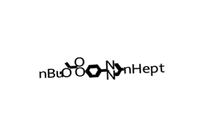 CCCCCCCc1cnc(-c2ccc(OC(=O)C(C)OCCCC)cc2)nc1